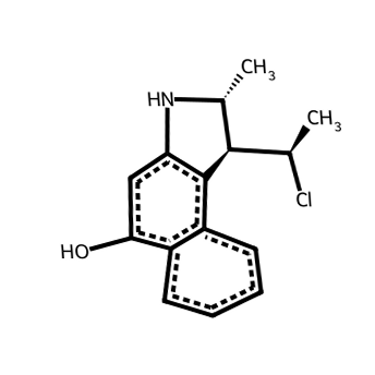 C[C@@H](Cl)[C@H]1c2c(cc(O)c3ccccc23)N[C@@H]1C